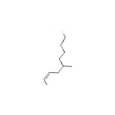 CS/C=C\CC(C)CCCCS